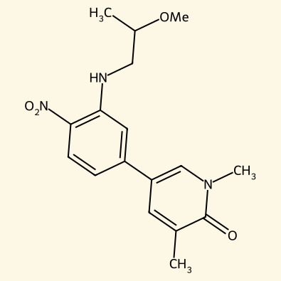 COC(C)CNc1cc(-c2cc(C)c(=O)n(C)c2)ccc1[N+](=O)[O-]